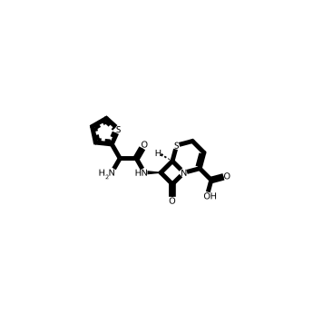 NC(C(=O)N[C@@H]1C(=O)N2C(C(=O)O)=CCS[C@H]12)c1cccs1